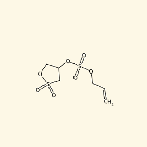 C=CCOS(=O)(=O)OC1COS(=O)(=O)C1